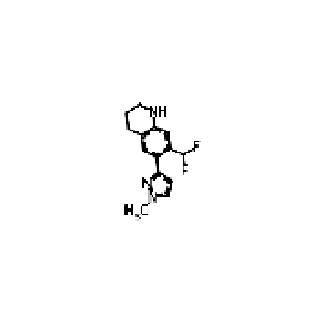 Cn1ccc(-c2cc3c(cc2C(F)F)NCCC3)n1